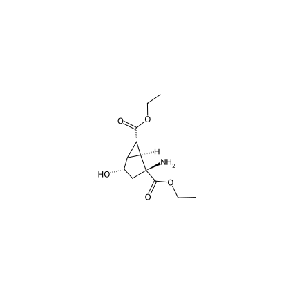 CCOC(=O)[C@H]1C2[C@@H](O)C[C@@](N)(C(=O)OCC)[C@@H]21